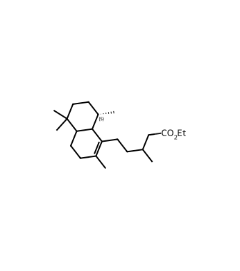 CCOC(=O)CC(C)CCC1=C(C)CCC2C1[C@@H](C)CCC2(C)C